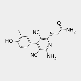 Cc1cc(-c2c(C#N)c(N)nc(SCC(N)=O)c2C#N)ccc1O